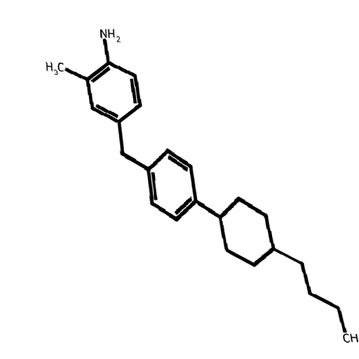 CCCCC1CCC(c2ccc(Cc3ccc(N)c(C)c3)cc2)CC1